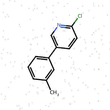 Cc1cccc(-c2ccc(Cl)nc2)c1